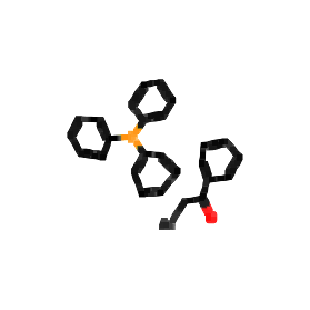 CC(=O)CC(=O)c1ccccc1.c1ccc(P(c2ccccc2)c2ccccc2)cc1